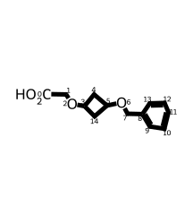 O=C(O)COC1CC(OCc2ccccc2)C1